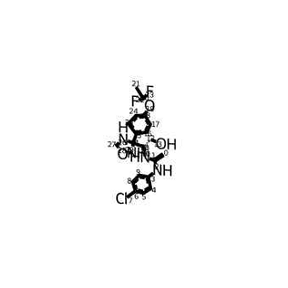 C=C(Nc1ccc(Cl)cc1)N[C@@H](CO)C1(c2ccc(OC(C)(F)F)cc2)NCON1